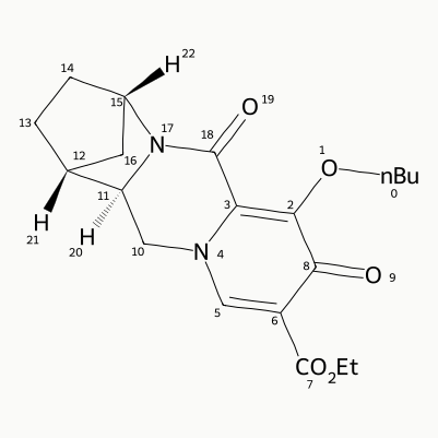 CCCCOc1c2n(cc(C(=O)OCC)c1=O)C[C@H]1[C@@H]3CC[C@@H](C3)N1C2=O